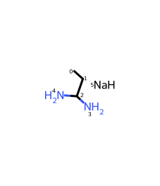 CCC(N)N.[NaH]